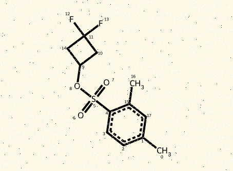 Cc1ccc(S(=O)(=O)OC2CC(F)(F)C2)c(C)c1